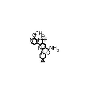 COc1cc(-c2nc(N3CCC4(CC3)CC4)c(C(N)=O)cc2C(F)(F)F)ccn1